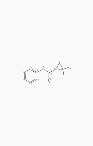 CC1(C)CC1C(=O)Sc1ccccc1